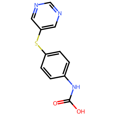 O=C(O)Nc1ccc(Sc2cncnc2)cc1